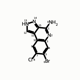 Nc1nc2cc(Br)c(Cl)cc2c2c[nH]nc12